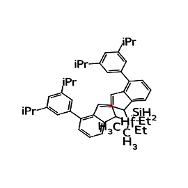 C[CH2][Hf]([CH3])([CH3])(=[SiH2])([CH2]C)([CH]1C=Cc2c(-c3cc(C(C)C)cc(C(C)C)c3)cccc21)[CH]1C=Cc2c(-c3cc(C(C)C)cc(C(C)C)c3)cccc21